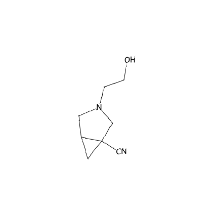 N#CC12CC1CN(CCO)C2